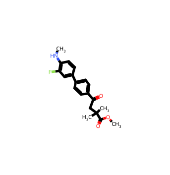 CNc1ccc(-c2ccc(C(=O)CC(C)(C)C(=O)OC)cc2)cc1F